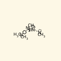 Cc1nc(-c2ccc(N(C)C)cc2)sc1C(=O)NCCC1CCCN1C